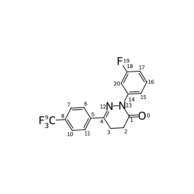 O=C1CCC(c2ccc(C(F)(F)F)cc2)=NN1c1cccc(F)c1